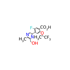 Cc1ncc(-c2cc(OC(C)C(F)(F)F)c(C(=O)O)cc2F)nc1CO